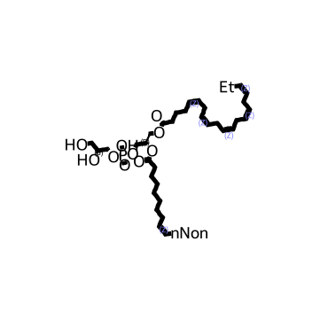 CC/C=C\C/C=C\C/C=C\C/C=C\C/C=C\CCCC(=O)OC[C@H](COP(=O)(O)OC[C@@H](O)CO)OC(=O)CCCCCCC/C=C\CCCCCCCCC